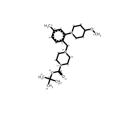 COC1CCN(c2cc(C)ccc2CN2CCN(C(=O)OC(C)(C)C)CC2)CC1